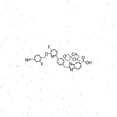 CC1(C)COC[C@H]1n1c(Cc2ccc(-c3ccc(F)c(OCc4ccc(C#N)cc4F)n3)cc2)nc2ccc(C(=O)O)cc21